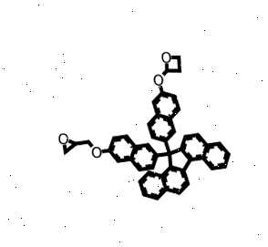 c1ccc2c3c(ccc2c1)C(c1ccc2cc(OCC4CO4)ccc2c1)(c1ccc2cc(OC4CCO4)ccc2c1)c1c-3ccc2ccccc12